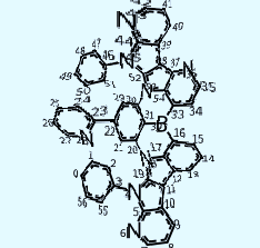 c1ccc(-n2c3ncccc3c3c4cccc5c4n(c32)-c2cc(-c3ccccn3)cc3c2B5c2ccnc4c5c6cccnc6n(-c6ccccc6)c5n-3c24)cc1